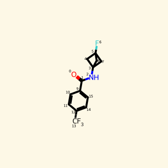 O=C(NC12CC(F)(C1)C2)c1ccc(C(F)(F)F)cc1